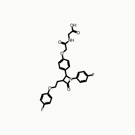 O=C(O)CNC(=O)COc1ccc(C2C(CCOc3ccc(F)cc3)C(=O)N2c2ccc(F)cc2)cc1